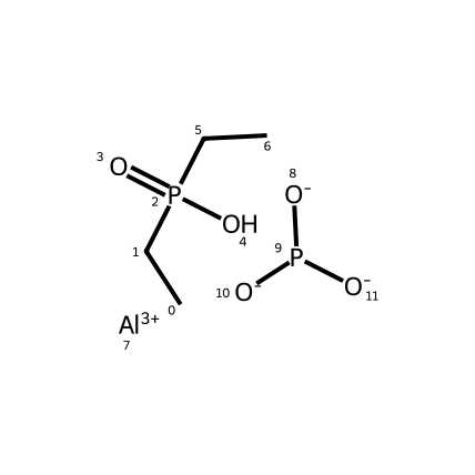 CCP(=O)(O)CC.[Al+3].[O-]P([O-])[O-]